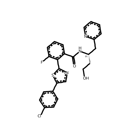 O=C(N[C@@H](CCO)Cc1ccccn1)c1cccc(F)c1-c1ncc(-c2ccc(Cl)cc2)s1